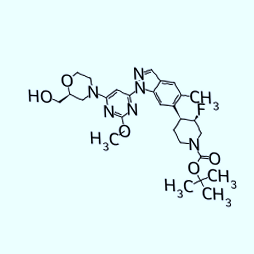 COc1nc(N2CCO[C@H](CO)C2)cc(-n2ncc3cc(C)c([C@@H]4CCN(C(=O)OC(C)(C)C)C[C@@H]4F)cc32)n1